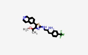 COC(C)c1nc(NC[C@@H](N)Cc2ccc(C(F)(F)F)cc2)sc1-c1ccc2cnccc2c1